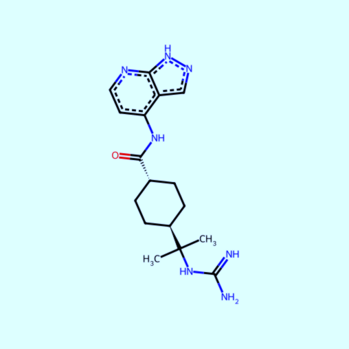 CC(C)(NC(=N)N)[C@H]1CC[C@H](C(=O)Nc2ccnc3[nH]ncc23)CC1